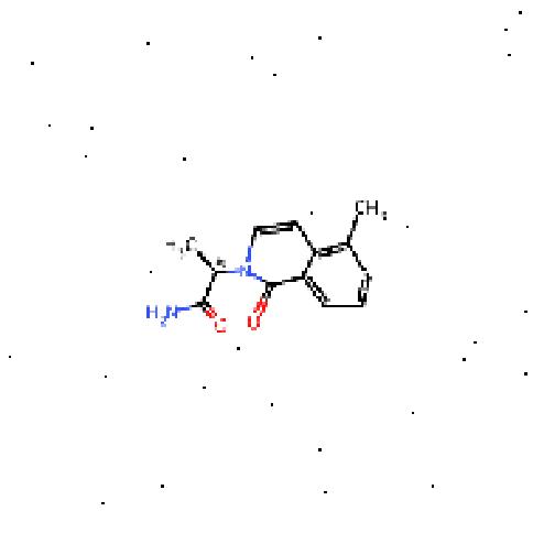 Cc1cccc2c(=O)n([C@H](C)C(N)=O)ccc12